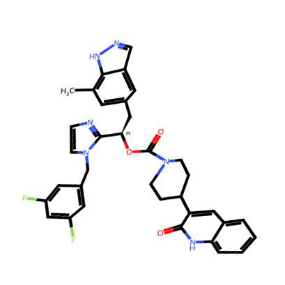 Cc1cc(C[C@@H](OC(=O)N2CCC(c3cc4ccccc4[nH]c3=O)CC2)c2nccn2Cc2cc(F)cc(F)c2)cc2cn[nH]c12